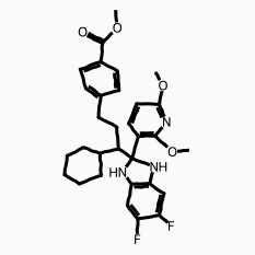 COC(=O)c1ccc(CCC(C2CCCCC2)C2(c3ccc(OC)nc3OC)Nc3cc(F)c(F)cc3N2)cc1